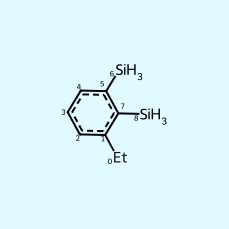 CCc1cccc([SiH3])c1[SiH3]